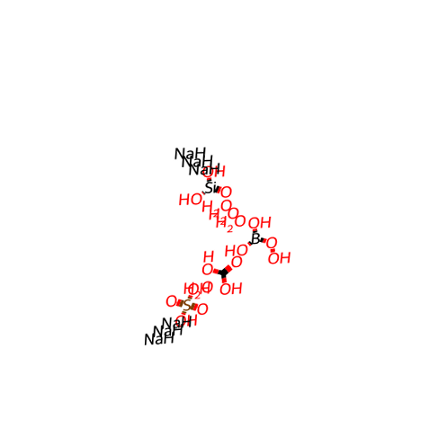 O.O.O.O.O=C(O)O.O=S(=O)(O)O.O=[Si](O)O.OOB(O)O.[NaH].[NaH].[NaH].[NaH].[NaH].[NaH]